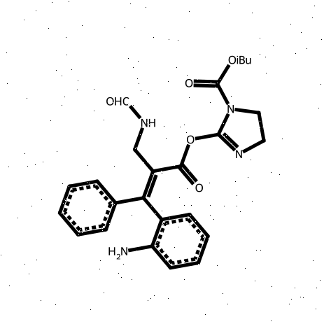 CC(C)COC(=O)N1CCN=C1OC(=O)C(CNC=O)=C(c1ccccc1)c1ccccc1N